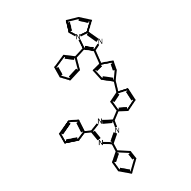 c1ccc(-c2nc(-c3ccccc3)nc(-c3cccc(-c4ccc(-c5nc6ccccn6c5-c5ccccc5)cc4)c3)n2)cc1